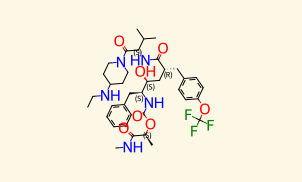 CCNC1CCN(C(=O)[C@@H](NC(=O)[C@H](Cc2ccc(OC(F)(F)F)cc2)C[C@H](O)[C@H](Cc2ccccc2)NC(=O)O[C@@H](C)C(=O)NC)C(C)C)CC1